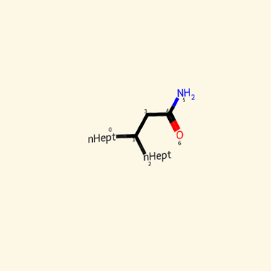 CCCCCCCC(CCCCCCC)CC(N)=O